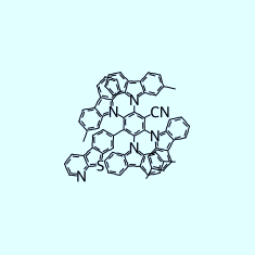 Cc1ccc2c3ccccc3n(-c3c(C#N)c(-n4c5ccccc5c5ccc(C)cc54)c(-n4c5ccccc5c5ccc(C)cc54)c(-c4ccc5c(c4)sc4ncccc45)c3-n3c4ccccc4c4ccc(C)cc43)c2c1